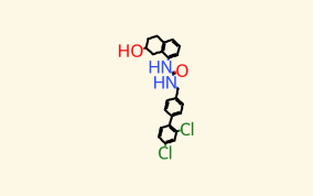 O=C(NCc1ccc(-c2ccc(Cl)cc2Cl)cc1)Nc1cccc2c1CC(O)CC2